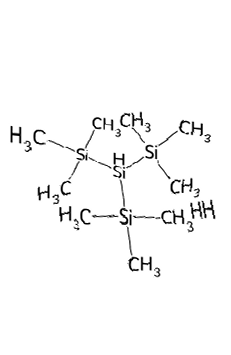 C[Si](C)(C)[SiH]([Si](C)(C)C)[Si](C)(C)C.[HH]